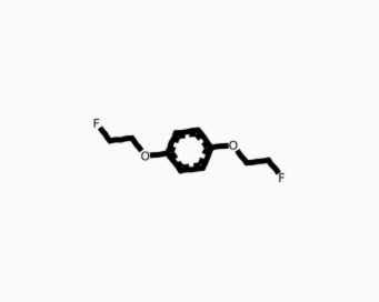 FCCOc1ccc(OCCF)cc1